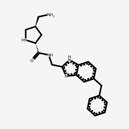 NC[C@@H]1CN[C@@H](C(=O)NCc2nc3cc(Cc4ccccc4)ccc3[nH]2)C1